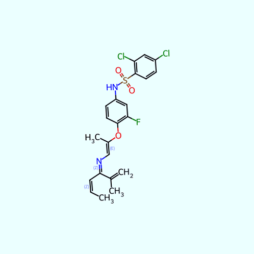 C=C(C)C(/C=C\C)=N\C=C(/C)Oc1ccc(NS(=O)(=O)c2ccc(Cl)cc2Cl)cc1F